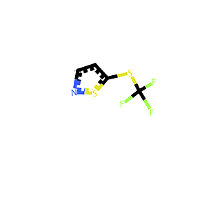 FC(F)(F)Sc1c[c]ns1